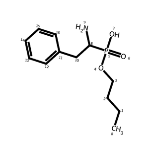 CCCCOP(=O)(O)C(N)Cc1ccccc1